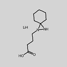 O=C(O)CCCN1NC12CCCCC2.[LiH]